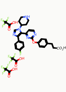 O=C(O)C(F)(F)F.O=C(O)C(F)(F)F.O=C(O)C(F)(F)F.O=C(O)CCc1ccc(Oc2nccc(-c3c(-c4ccc(F)cc4)ncn3C3CCNCC3)n2)cc1